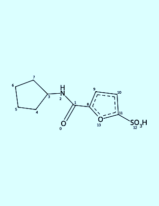 O=C(NC1CCCC1)c1ccc(S(=O)(=O)O)o1